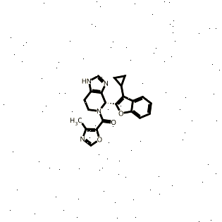 Cc1ncoc1C(=O)N1CCc2[nH]cnc2[C@@H]1c1oc2ccccc2c1C1CC1